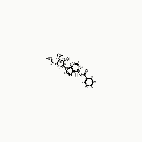 O=C(Nc1ncnc2c1ncn2[C@@H]1O[C@H](CO)[C@H](O)C1O)c1ccccc1